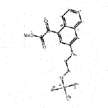 COC(=O)C(=O)c1cc(OCCO[Si](C(C)C)(C(C)C)C(C)C)cc2ccccc12